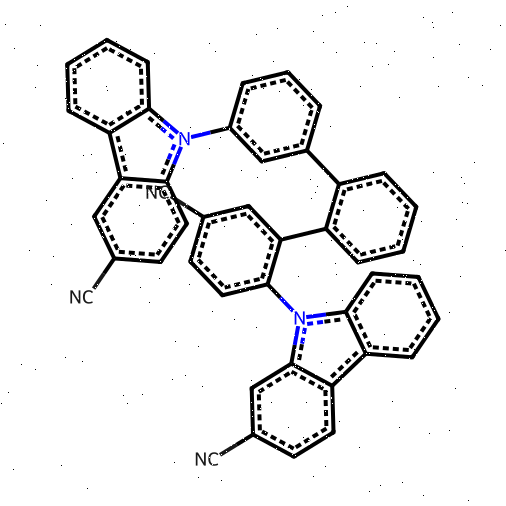 N#Cc1ccc(-n2c3ccccc3c3ccc(C#N)cc32)c(-c2ccccc2-c2cccc(-n3c4ccccc4c4cc(C#N)ccc43)c2)c1